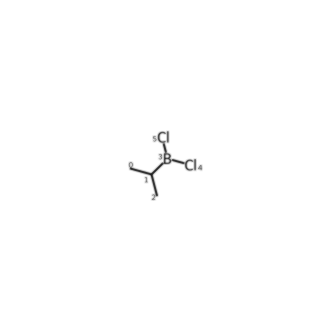 CC(C)B(Cl)Cl